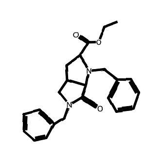 CCOC(=O)C1CC2CN(Cc3ccccc3)C(=O)C2N1Cc1ccccc1